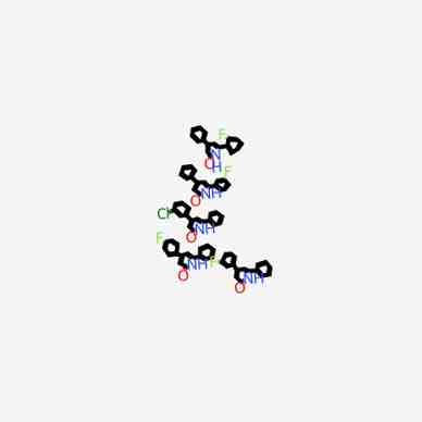 O=c1cc(-c2ccc(F)cc2)cc(-c2ccccc2)[nH]1.O=c1cc(-c2cccc(Cl)c2)cc(-c2ccccc2)[nH]1.O=c1cc(-c2cccc(F)c2)cc(-c2ccccc2)[nH]1.O=c1cc(-c2ccccc2)cc(-c2cccc(F)c2)[nH]1.O=c1cc(-c2ccccc2)cc(-c2ccccc2F)[nH]1